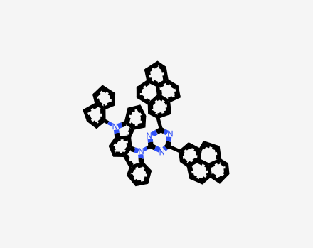 c1ccc2c(-n3c4ccccc4c4c3ccc3c5ccccc5n(-c5nc(-c6cc7ccc8cccc9ccc(c6)c7c89)nc(-c6cc7ccc8cccc9ccc(c6)c7c89)n5)c34)cccc2c1